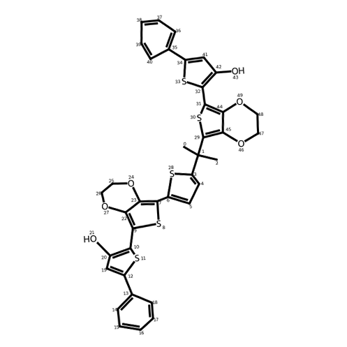 CC(C)(c1ccc(-c2sc(-c3sc(-c4ccccc4)cc3O)c3c2OCCO3)s1)c1sc(-c2sc(-c3ccccc3)cc2O)c2c1OCCO2